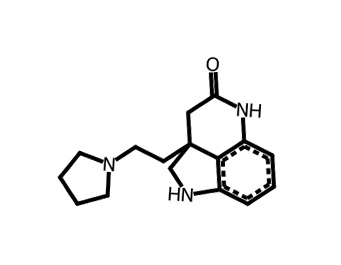 O=C1CC2(CCN3CCCC3)CNc3cccc(c32)N1